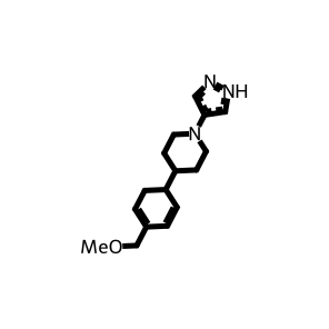 COCC1=CCC(C2CCN(c3cn[nH]c3)CC2)C=C1